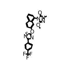 COc1nn(C)c(=O)n1-c1cccc2ccc(Oc3nc(-c4ccc(C(F)(F)F)cc4)ns3)cc12